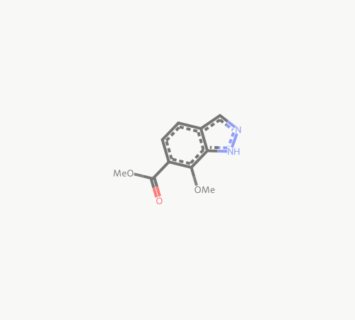 COC(=O)c1ccc2cn[nH]c2c1OC